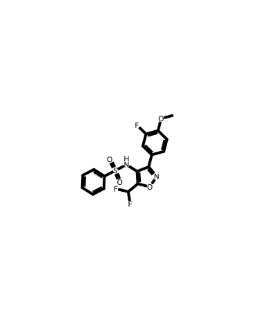 COc1ccc(-c2noc(C(F)F)c2NS(=O)(=O)c2ccccc2)cc1F